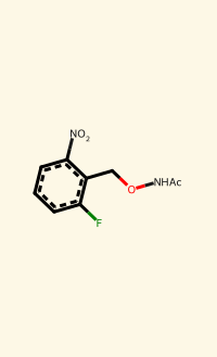 CC(=O)NOCc1c(F)cccc1[N+](=O)[O-]